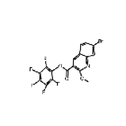 COc1nc2cc(Br)ccc2cc1C(=O)Oc1c(F)c(F)c(F)c(F)c1F